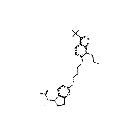 CCCc1c(OCCCOc2ccc3c(c2)CCC3[C@H](C)C(=O)O)ccc2c(C(F)(F)F)noc12